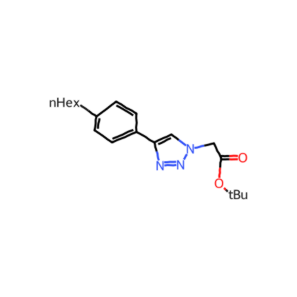 CCCCCCc1ccc(-c2cn(CC(=O)OC(C)(C)C)nn2)cc1